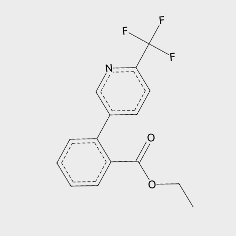 CCOC(=O)c1ccccc1-c1ccc(C(F)(F)F)nc1